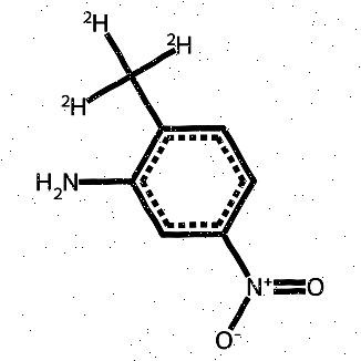 [2H]C([2H])([2H])c1ccc([N+](=O)[O-])cc1N